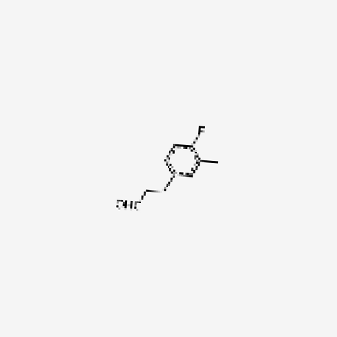 Cc1cc(CCC=O)ccc1F